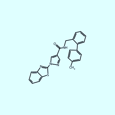 Cc1ccc(-c2ccccc2CNC(=O)c2cnn(-c3nc4ccccc4s3)c2)cc1